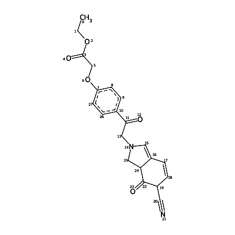 CCOC(=O)COc1ccc(C(=O)CN2C=C3C=CC(C#N)C(=O)C3C2)cc1